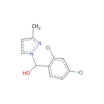 Cc1ccn(C(O)c2ccc(Cl)cc2Cl)n1